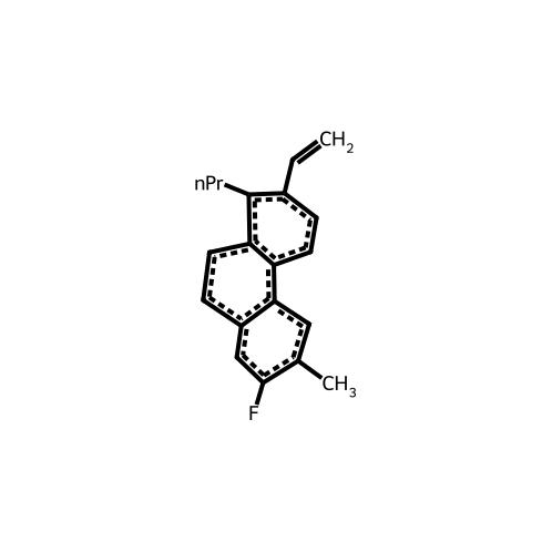 C=Cc1ccc2c(ccc3cc(F)c(C)cc32)c1CCC